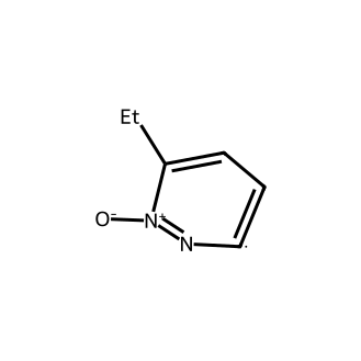 CCc1cc[c]n[n+]1[O-]